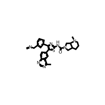 C=NCc1cccc(-c2nc(NC(=O)N3CC4CCCN(C)C4C3)sc2-c2ccc3ncnc(C)c3c2)c1